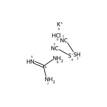 Cl.N#CS.N#C[S-].N=C(N)N.[K+]